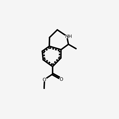 COC(=O)c1ccc2c(c1)C(C)NCC2